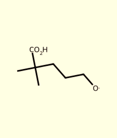 CC(C)(CCC[O])C(=O)O